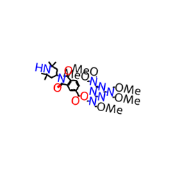 COCN(COC)c1nc(N(COC)COC)nc(N(COC)COC(=O)c2ccc3c(c2)C(=O)N(C2CC(C)(C)NC(C)(C)C2)C3=O)n1